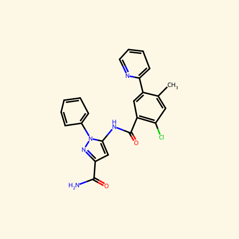 Cc1cc(Cl)c(C(=O)Nc2cc(C(N)=O)nn2-c2ccccc2)cc1-c1ccccn1